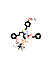 COc1ccc(CSC(CCc2ccccc2OC)C(/C=C/S(=O)(=O)OCC(C)(C)C)NC(=O)OCc2ccccc2)cc1